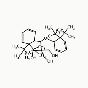 CC(C)(C)C1(C(C)(C)C)C=CC=CC1OC(C1C=CC=CC1(C(C)(C)C)C(C)(C)C)C(CO)(CO)CO